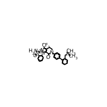 CN(C)Cc1ccccc1-c1ccc(N2CCc3c(C(F)(F)F)nn(-c4ccccc4S(N)(=O)=O)c3C2=O)cc1